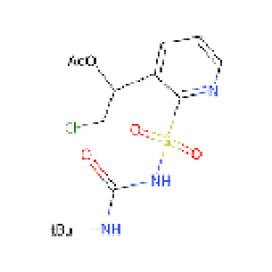 CC(=O)OC(CCl)c1cccnc1S(=O)(=O)NC(=O)NC(C)(C)C